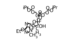 CCOc1nc(C)nc2c1ncn2[C@@H]1O[C@](F)(COP(=O)(OCOC(=O)OC(C)C)OCOC(=O)OC(C)C)[C@@H](O)[C@@]1(C)F